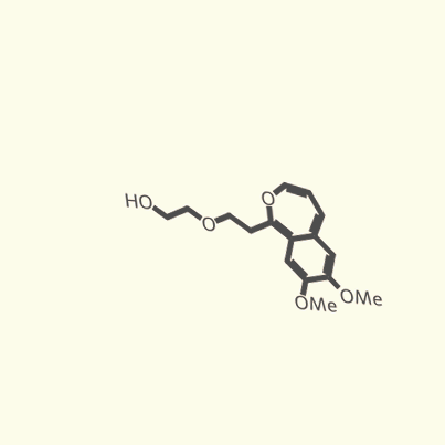 COc1cc2c(cc1OC)=C(CCOCCO)OC=CC=2